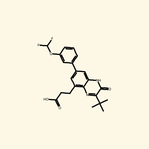 CC(C)(C)c1nc2c(CCC(=O)O)cc(-c3cccc(OC(F)F)c3)cc2[nH]c1=O